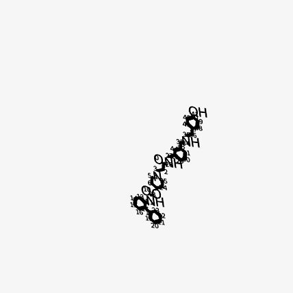 O=C(CCN1CCC(OC(=O)Nc2ccccc2-c2ccccc2)CC1)NCc1cccc(CNCCc2ccc(O)cc2)c1